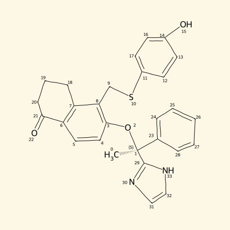 C[C@](Oc1ccc2c(c1CSc1ccc(O)cc1)CCCC2=O)(c1ccccc1)c1ncc[nH]1